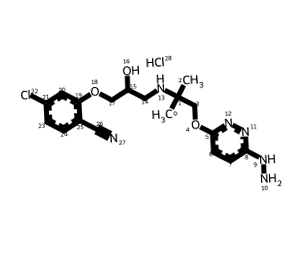 CC(C)(COc1ccc(NN)nn1)NCC(O)COc1cc(Cl)ccc1C#N.Cl